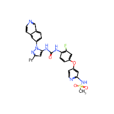 CC(C)c1cc(NC(=O)Nc2ccc(Oc3ccnc(NS(C)(=O)=O)c3)cc2F)n(-c2ccc3cnccc3c2)n1